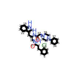 O=C(CCc1ccccc1Cl)NC[C@@H](Cc1c[nH]c2ccccc12)NC(=O)CN1CCN(c2ccccc2)CC1